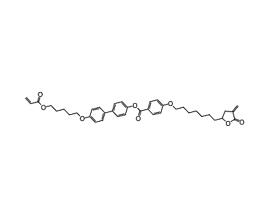 C=CC(=O)OCCCCCOc1ccc(-c2ccc(OC(=O)c3ccc(OCCCCCCCC4CC(=C)C(=O)O4)cc3)cc2)cc1